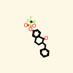 O=C1c2ccc(OS(=O)(=O)C(F)(F)F)cc2CCC1Cc1ccccc1